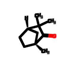 CC1(C)C(=O)[C@@]2(C)CC[C@@H]1C2